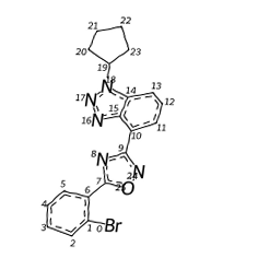 Brc1ccccc1-c1nc(-c2cccc3c2nnn3C2CCCC2)no1